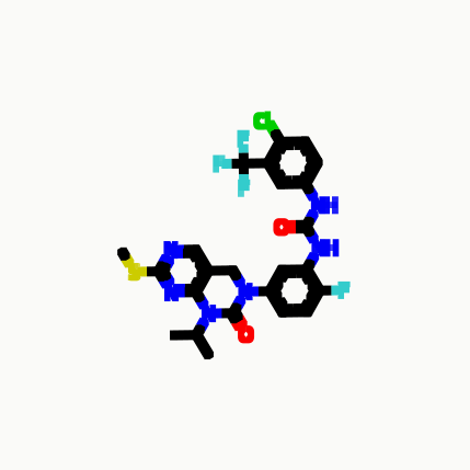 CSc1ncc2c(n1)N(C(C)C)C(=O)N(c1ccc(F)c(NC(=O)Nc3ccc(Cl)c(C(F)(F)F)c3)c1)C2